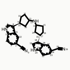 N#Cc1ccc2[nH]cc([C@H]3CCC(NC4CC[C@H](c5c[nH]c6ccc(C#N)cc56)C4)C3)c2c1